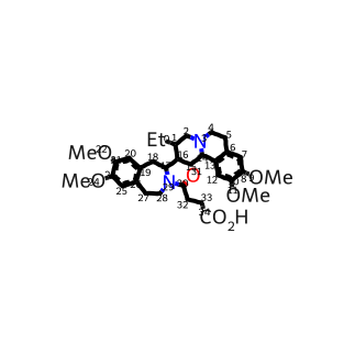 CCC1CN2CCc3cc(OC)c(OC)cc3C2CC1C1Cc2cc(OC)c(OC)cc2CCN1C(=O)CCC(=O)O